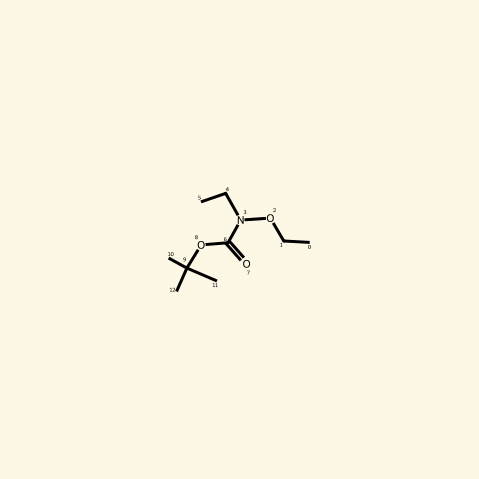 CCON(CC)C(=O)OC(C)(C)C